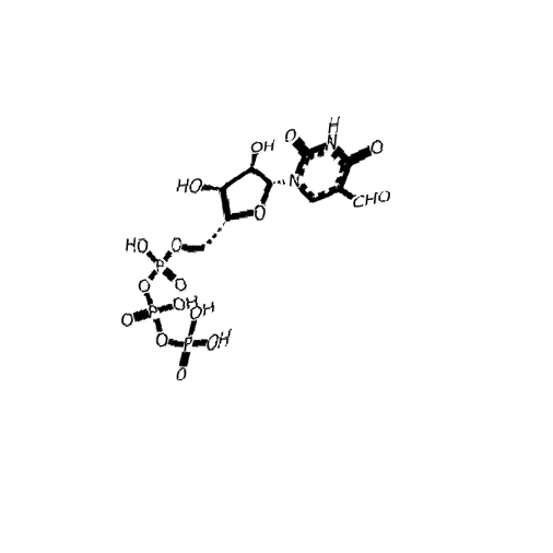 O=Cc1cn([C@@H]2O[C@H](COP(=O)(O)OP(=O)(O)OP(=O)(O)O)[C@@H](O)[C@H]2O)c(=O)[nH]c1=O